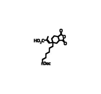 CCCCCCCCCCCCCCCCC1(C=C(C)C(=O)O)CCC2C(=O)OC(=O)C2C1